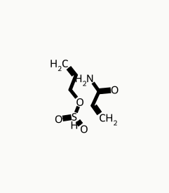 C=CC(N)=O.C=CCO[SH](=O)=O